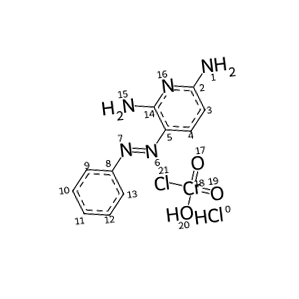 Cl.Nc1ccc(/N=N/c2ccccc2)c(N)n1.[O]=[Cr](=[O])([OH])[Cl]